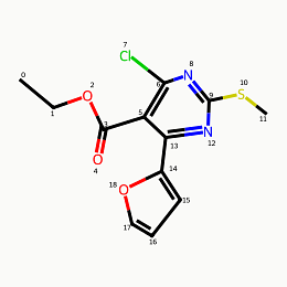 CCOC(=O)c1c(Cl)nc(SC)nc1-c1ccco1